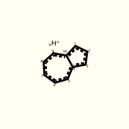 [H+].[c]1ccc2cccccc1-2